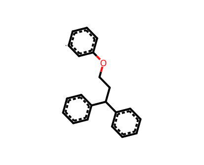 [c]1cccc(OCCC(c2ccccc2)c2ccccc2)c1